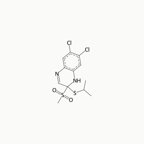 CC(C)SC1(S(C)(=O)=O)C=Nc2cc(Cl)c(Cl)cc2N1